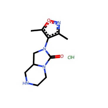 Cc1noc(C)c1N1CC2CNCCN2C1=O.Cl